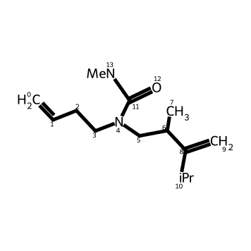 C=CCCN(CC(C)C(=C)C(C)C)C(=O)NC